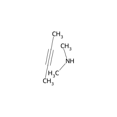 CC#CC.CNC